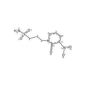 NS(=O)(=O)CCCn1cccc([N+](=O)[O-])c1=O